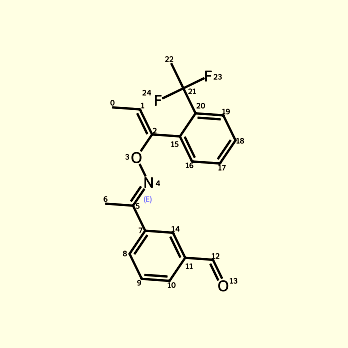 CC=C(O/N=C(\C)c1cccc(C=O)c1)c1ccccc1C(C)(F)F